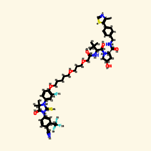 Cc1ncsc1-c1ccc(CNC(=O)[C@@H]2C[C@@H](O)CN2C(=O)C(NC(=O)COCCCOCCCCCOc2ccc(N3C(=S)N(c4ccc(C#N)c(C(F)(F)F)c4)C(=O)C3(C)C)cc2F)C(C)(C)C)cc1